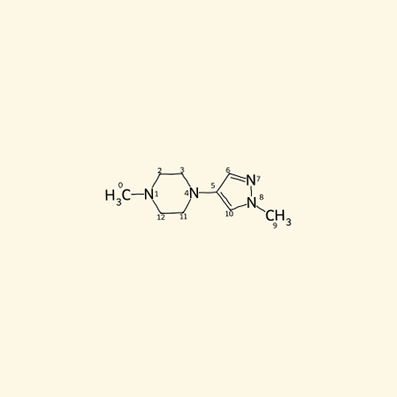 CN1CCN(c2cnn(C)c2)CC1